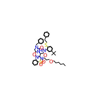 CCCCCCOCCCN1C(C(C(=O)Nc2cc(C(C)(C)C)ccc2SCCc2ccccc2)N2C(=O)CN(Cc3ccccc3)C2=O)=Nc2ccccc2S1(=O)=O